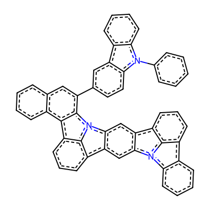 c1ccc(-n2c3ccccc3c3cc(-c4cc5ccccc5c5c6cccc7c8cc9c(cc8n(c45)c76)c4cccc5c6ccccc6n9c54)ccc32)cc1